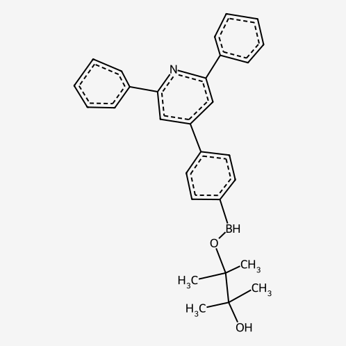 CC(C)(O)C(C)(C)OBc1ccc(-c2cc(-c3ccccc3)nc(-c3ccccc3)c2)cc1